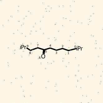 CC(C)CCCCC(=O)CCC(C)C